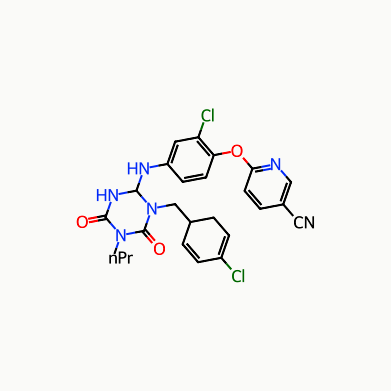 CCCN1C(=O)NC(Nc2ccc(Oc3ccc(C#N)cn3)c(Cl)c2)N(CC2C=CC(Cl)=CC2)C1=O